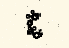 O=C(N[C@@H]1CCCC(F)(F)C1)O[C@@H]1CCN(c2cn[nH]c(=O)c2Cl)C1